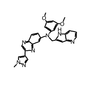 COc1cc(OC)cc(N(Cc2cc3ncccc3[nH]2)c2ccc3ncc(-c4cnn(C)c4)nc3c2)c1